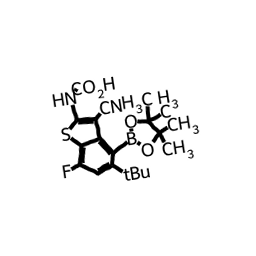 CC(C)(C)c1cc(F)c2sc(NC(=O)O)c(C#N)c2c1B1OC(C)(C)C(C)(C)O1